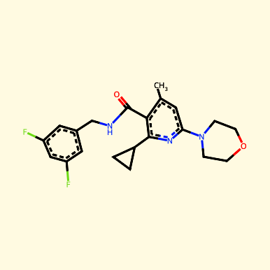 Cc1cc(N2CCOCC2)nc(C2CC2)c1C(=O)NCc1cc(F)cc(F)c1